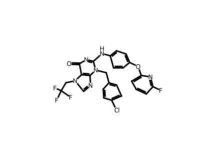 O=c1nc(Nc2ccc(Oc3cccc(F)n3)cc2)n(Cc2ccc(Cl)cc2)c2ncn(CC(F)(F)F)c12